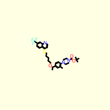 Cc1cc(C(C)OCCCCCSc2ccnc3cc(C(F)(F)F)ccc23)ccc1N1CCN(C(=O)OC(C)(C)C)CC1